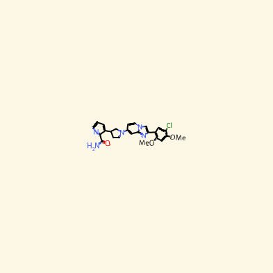 COc1cc(OC)c(-c2cn3ccc(N4CCC(c5cccnc5C(N)=O)C4)cc3n2)cc1Cl